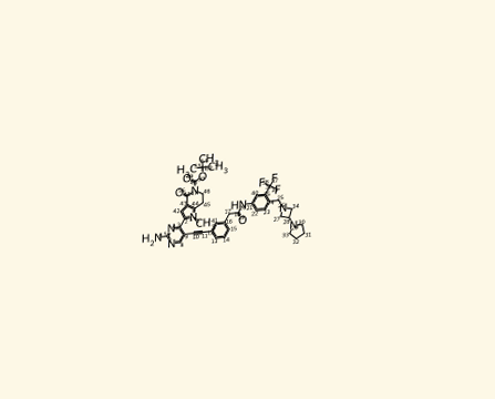 Cn1c(-c2nc(N)ncc2C#Cc2cccc(CC(=O)Nc3ccc(CN4CC(N5CCCC5)C4)c(C(F)(F)F)c3)c2)cc2c1CCN(C(=O)OC(C)(C)C)C2=O